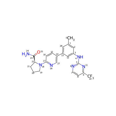 Cc1cc(Nc2nccc(C(F)(F)F)n2)cc(-c2ccc(N3CCC[C@H]3C(N)=O)nc2)c1